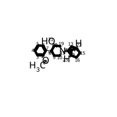 COc1ccccc1[C@H]1CCN([C@H]2C[C@H]3CC[C@H]2C3)C[C@@H]1O